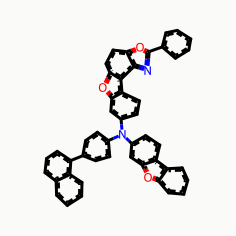 c1ccc(-c2nc3c(ccc4oc5cc(N(c6ccc(-c7cccc8ccccc78)cc6)c6ccc7c(c6)oc6ccccc67)ccc5c43)o2)cc1